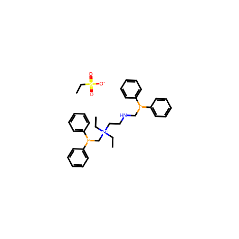 CCS(=O)(=O)[O-].CC[N+](CC)(CCNCP(c1ccccc1)c1ccccc1)CP(c1ccccc1)c1ccccc1